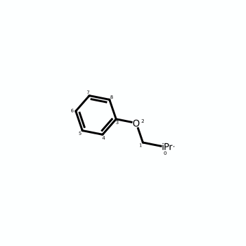 C[C](C)COc1ccccc1